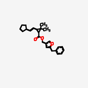 CC1(C)C(C=CC2CCCC2)C1C(=O)OCc1coc(Cc2ccccc2)c1